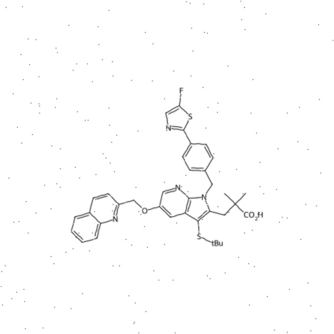 CC(C)(C)Sc1c(CC(C)(C)C(=O)O)n(Cc2ccc(-c3ncc(F)s3)cc2)c2ncc(OCc3ccc4ccccc4n3)cc12